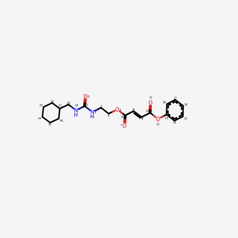 O=C(NCCOC(=O)/C=C/C(=O)Oc1ccccc1)NCC1CCCCC1